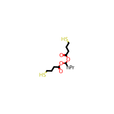 CCCC(OC(=O)CCCS)OC(=O)CCCS